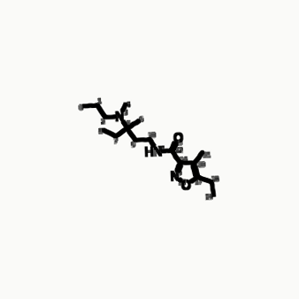 CCCN(C)C(C)(CC)CCNC(=O)c1noc(CC)c1C